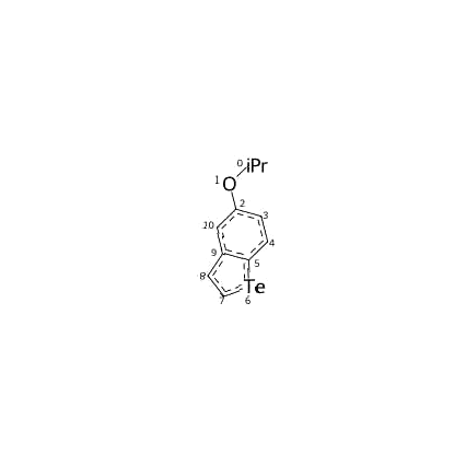 CC(C)Oc1ccc2[te]ccc2c1